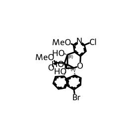 COC(=O)C1[C@@H](c2ccccc2)[C@]2(c3ccc(Br)cc3)Oc3cc(Cl)nc(OC)c3[C@@]1(O)C2(O)O